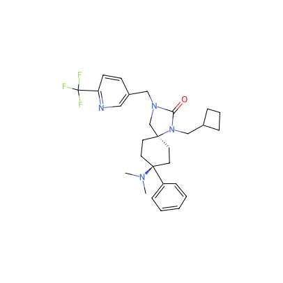 CN(C)[C@]1(c2ccccc2)CC[C@]2(CC1)CN(Cc1ccc(C(F)(F)F)nc1)C(=O)N2CC1CCC1